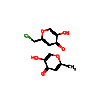 Cc1cc(=O)c(O)co1.O=c1cc(CCl)occ1O